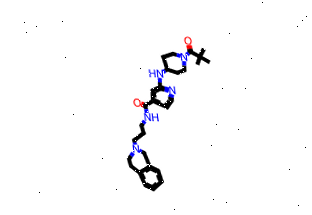 CC(C)(C)C(=O)N1CCC(Nc2cc(C(=O)NCCCN3CCc4ccccc4C3)ccn2)CC1